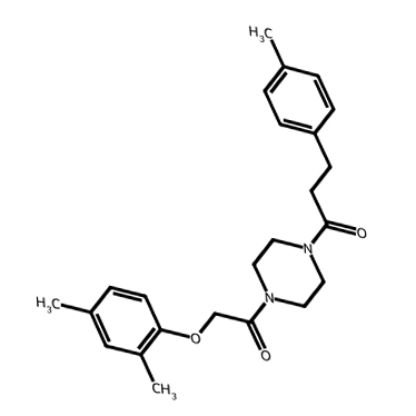 Cc1ccc(CCC(=O)N2CCN(C(=O)COc3ccc(C)cc3C)CC2)cc1